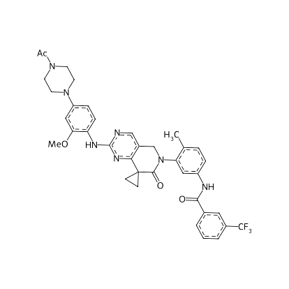 COc1cc(N2CCN(C(C)=O)CC2)ccc1Nc1ncc2c(n1)C1(CC1)C(=O)N(c1cc(NC(=O)c3cccc(C(F)(F)F)c3)ccc1C)C2